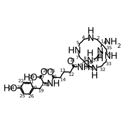 N[C@]12CNCCNC[C@](NC(=O)CCCC(=O)N[C@@H](Cc3ccc(O)cc3)C(=O)O)(CNCCNC1)NCCN2